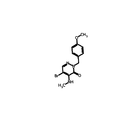 CNc1c(Br)cnn(Cc2ccc(OC)cc2)c1=O